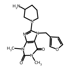 Cn1c(=O)c2c(nc(N3CCCC(N)C3)n2Cc2ccoc2)n(C)c1=O